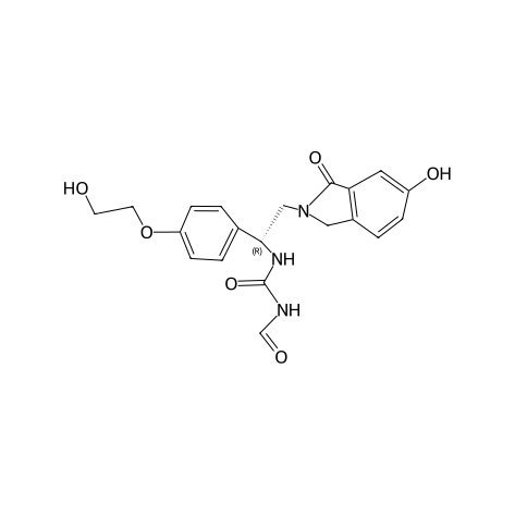 O=CNC(=O)N[C@@H](CN1Cc2ccc(O)cc2C1=O)c1ccc(OCCO)cc1